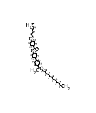 CCCCCCCCCCCCOC(C)c1ccc(-c2ccc(OC(=O)c3ccc(OCCCCCC)cc3)cc2)cc1